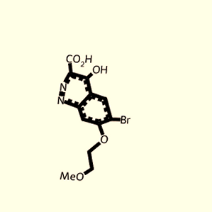 COCCOc1cc2nnc(C(=O)O)c(O)c2cc1Br